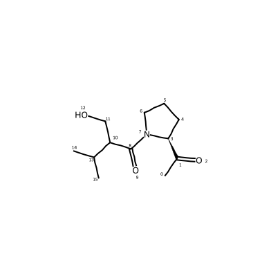 CC(=O)[C@@H]1CCCN1C(=O)C(CO)C(C)C